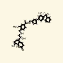 COc1cc(C(=O)NCc2cc(-c3ccc([C@](O)(C(=O)O)c4ccccc4)cc3)cs2)ccc1CNC[C@H](O)c1ccc(O)c2[nH]c(=O)ccc12